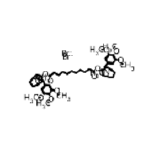 COc1cc(C[N+]2(C)C3CCC2CC(OC(=O)CCCCCCCCCC(=O)OC2CC4CCC(C2)[N+]4(C)Cc2cc(OC)c(OC)c(OC)c2)C3)cc(OC)c1OC.[Br-].[Br-]